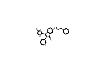 Cc1csc(C2=C(c3cccnc3)C(=O)c3cc(OCCc4ccccc4)ccc32)n1